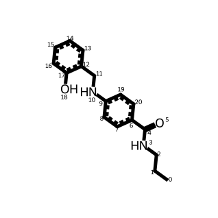 CCCNC(=O)c1ccc(NCc2ccccc2O)cc1